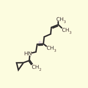 C=C(NC/C=C(\C)CCC=C(C)C)C1CC1